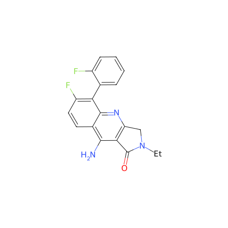 CCN1Cc2nc3c(-c4ccccc4F)c(F)ccc3c(N)c2C1=O